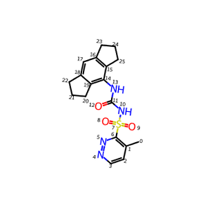 Cc1ccnnc1S(=O)(=O)NC(=O)Nc1c2c(cc3c1CCC3)CCC2